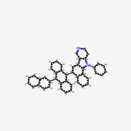 c1ccc(-n2c3ccncc3c3cc(-c4c5ccccc5c(-c5ccc6ccccc6c5)c5ccccc45)c4ccccc4c32)cc1